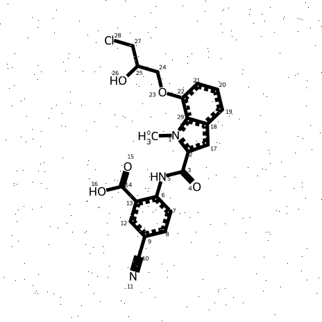 Cn1c(C(=O)Nc2ccc(C#N)cc2C(=O)O)cc2cccc(OCC(O)CCl)c21